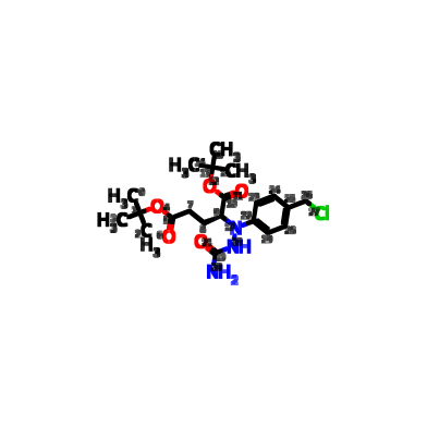 CC(C)(C)OC(=O)CC[C@@H](C(=O)OC(C)(C)C)N(NC(N)=O)c1ccc(CCl)cc1